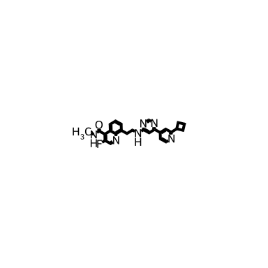 CNC(=O)c1c(F)cnc2c(CCNc3cc(-c4ccnc(C5CCC5)c4)ncn3)cccc12